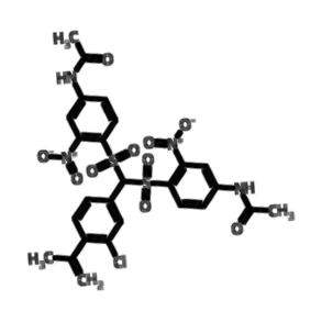 C=C(C)c1ccc(C(S(=O)(=O)c2ccc(NC(C)=O)cc2[N+](=O)[O-])S(=O)(=O)c2ccc(NC(C)=O)cc2[N+](=O)[O-])cc1Cl